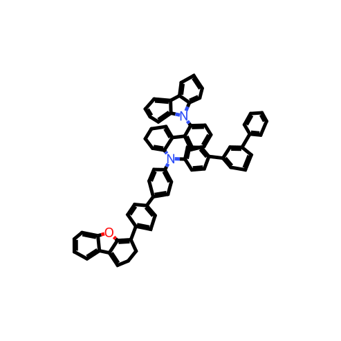 C1=C(c2ccccc2-n2c3ccccc3c3ccccc32)C(N(c2ccc(-c3ccc(C4=c5oc6ccccc6c5=CCC4)cc3)cc2)c2ccc(-c3cccc(-c4ccccc4)c3)cc2)=CCC1